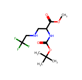 COC(=O)C(CNCC(F)(F)F)NC(=O)OC(C)(C)C